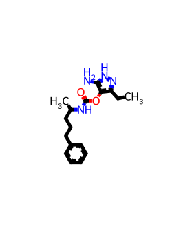 CCc1n[nH]c(N)c1OC(=O)NC(C)CCCc1ccccc1